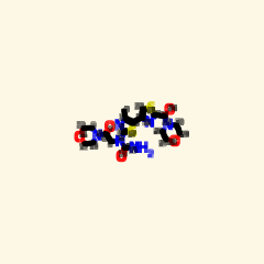 Cc1nc(N(CC(=O)N2CCOCC2)C(N)=O)sc1-c1csc(C(=O)N2CCOCC2)n1